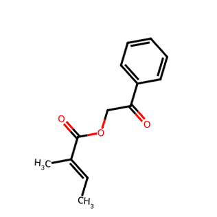 CC=C(C)C(=O)OCC(=O)c1ccccc1